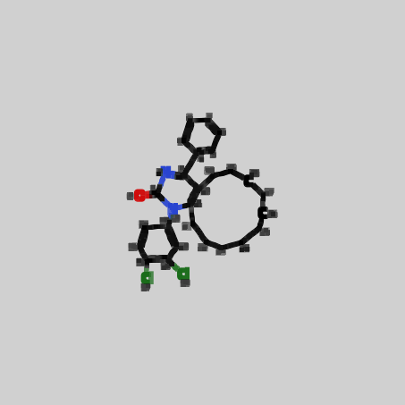 O=c1nc(-c2ccccc2)c2c(n1-c1ccc(Cl)c(Cl)c1)CCCCCCCCCC2